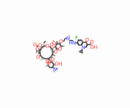 CC[C@@H]1OC(=O)[C@H](C)[C@H](O[C@H]2CC(C)(OC)[C@@H](OCCN(C)CCNc3cc4c(cc3F)c(=O)c(C(=O)O)cn4C3CC3)[C@@H](C)O2)[C@@H](C)[C@H](O[C@H]2O[C@@H](C)C[C@@H](N(C)C)[C@H]2O)C(C)(OC)C[C@H](C)C(=O)[C@H](C)[C@H]2OC(=O)O[C@@]12C